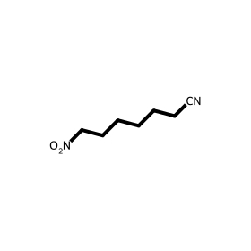 N#CCCCCCC[N+](=O)[O-]